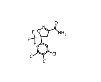 NC(=O)C1=NO[C@@](c2cc(Cl)c(Cl)c(Cl)c2)(C(F)(F)F)C1